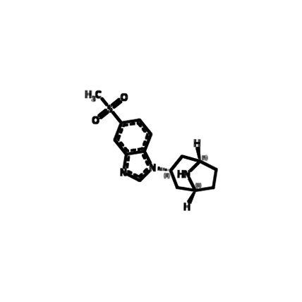 CS(=O)(=O)c1ccc2c(c1)ncn2[C@H]1C[C@H]2CC[C@@H](C1)N2